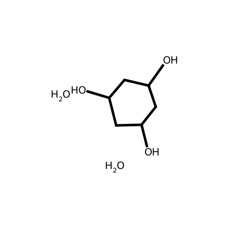 O.O.OC1CC(O)CC(O)C1